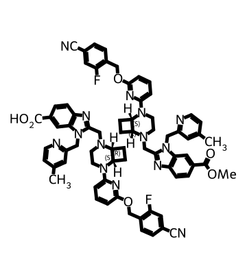 COC(=O)c1ccc2nc(CN3CCN(c4cccc(OCc5ccc(C#N)cc5F)n4)[C@H]4CC[C@H]43)n(Cc3cc(C)ccn3)c2c1.Cc1ccnc(Cn2c(CN3CCN(c4cccc(OCc5ccc(C#N)cc5F)n4)[C@H]4CC[C@H]43)nc3ccc(C(=O)O)cc32)c1